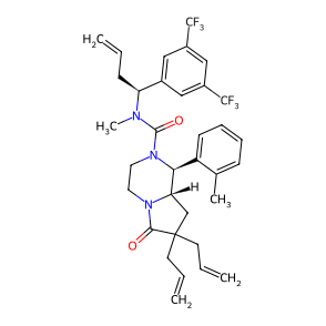 C=CC[C@@H](c1cc(C(F)(F)F)cc(C(F)(F)F)c1)N(C)C(=O)N1CCN2C(=O)C(CC=C)(CC=C)C[C@H]2[C@@H]1c1ccccc1C